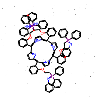 N=P(CCOc1ccccc1-c1c2nc(c(-c3ccccc3OCCP(=Nc3ccccc3)(c3ccccc3)c3ccccc3)c3ccc([nH]3)c(-c3ccccc3OCCP(=Nc3ccccc3)(c3ccccc3)c3ccccc3)c3nc(c(-c4ccccc4OCCP(=N)(c4ccccc4)c4ccccc4)c4ccc1[nH]4)C=C3)C=C2)(c1ccccc1)c1ccccc1